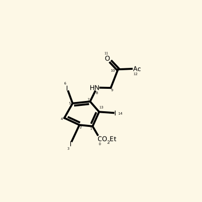 CCOC(=O)c1c(I)cc(I)c(NCC(=O)C(C)=O)c1I